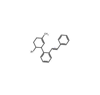 CC1=CC(c2ccccc2/C=C/c2ccccc2)C(C(C)C)CC1